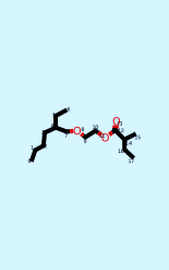 CCCCC(CC)COCCOC(=O)C(C)CC